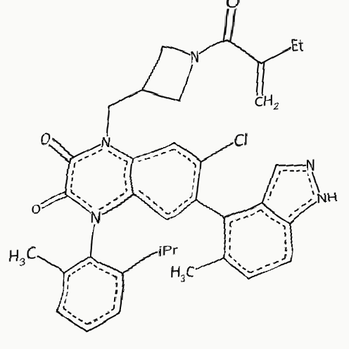 C=C(CC)C(=O)N1CC(Cn2c(=O)c(=O)n(-c3c(C)cccc3C(C)C)c3cc(-c4c(C)ccc5[nH]ncc45)c(Cl)cc32)C1